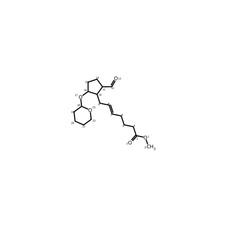 COC(=O)CCCC=CCC1C(C=O)CCC1OC1CCCCO1